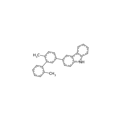 Cc1ccccc1-c1cc(-c2ccc3[nH]c4ccccc4c3c2)ccc1C